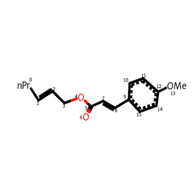 CCC/C=C/COC(=O)/C=C/c1ccc(OC)cc1